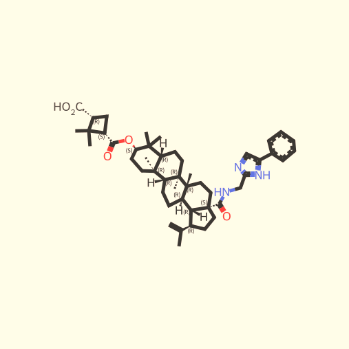 C=C(C)[C@@H]1CC[C@]2(C(=O)NCc3ncc(-c4ccccc4)[nH]3)CC[C@]3(C)[C@H](CC[C@@H]4[C@@]5(C)CC[C@H](OC(=O)[C@H]6C[C@@H](C(=O)O)C6(C)C)C(C)(C)[C@@H]5CC[C@]43C)[C@@H]12